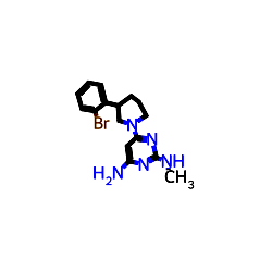 CNc1nc(N)cc(N2CCCC(c3ccccc3Br)C2)n1